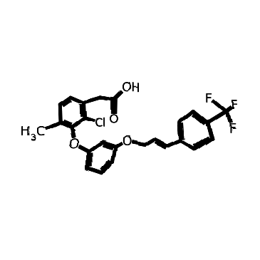 Cc1ccc(CC(=O)O)c(Cl)c1Oc1cccc(OCC=Cc2ccc(C(F)(F)F)cc2)c1